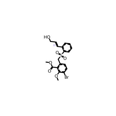 COC(=O)c1c(CS(=O)(=O)c2ccccc2/C=C/CO)ccc(Br)c1OC